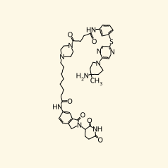 CC1(N)CCN(c2cnc(Sc3cccc(NC(=O)CCC(=O)N4CCN(CCCCCCCC(=O)Nc5ccc6c(c5)C(=O)N(C5CCC(=O)NC5=O)C6)CC4)c3)cn2)CC1